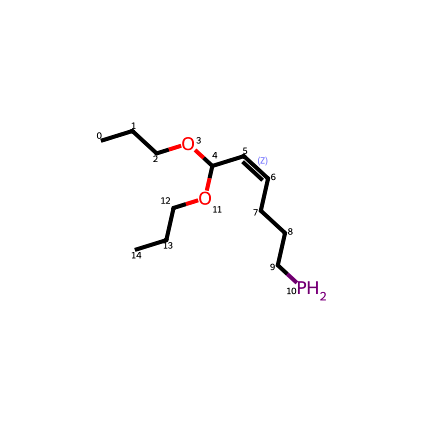 CCCOC(/C=C\CCCP)OCCC